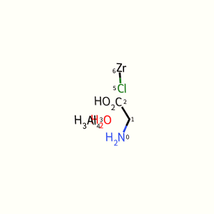 NCC(=O)O.O.[AlH3].[Cl][Zr]